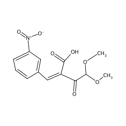 COC(OC)C(=O)/C(=C/c1cccc([N+](=O)[O-])c1)C(=O)O